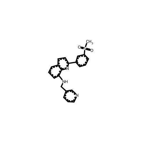 CS(=O)(=O)c1cccc(-c2ccc3cccc(NCc4cccnc4)c3n2)c1